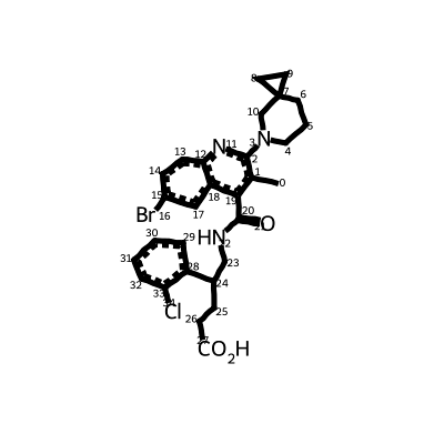 Cc1c(N2CCCC3(CC3)C2)nc2ccc(Br)cc2c1C(=O)NCC(CCC(=O)O)c1ccccc1Cl